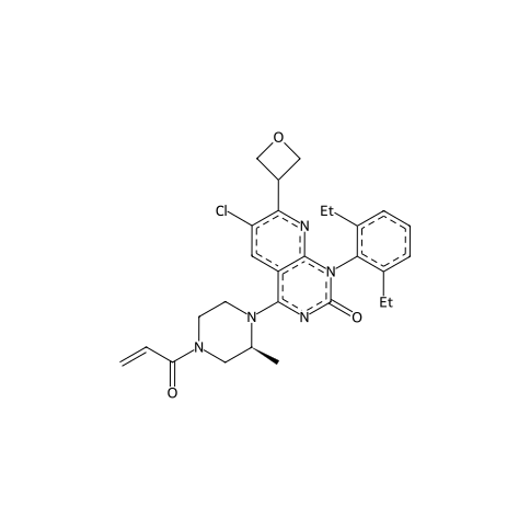 C=CC(=O)N1CCN(c2nc(=O)n(-c3c(CC)cccc3CC)c3nc(C4COC4)c(Cl)cc23)[C@@H](C)C1